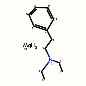 CCN(CC)CCc1cc[c]cc1.[MgH2]